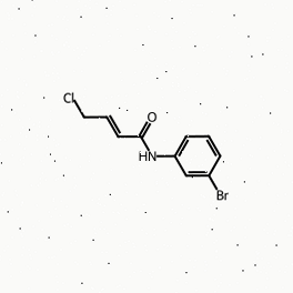 O=C(/C=C/CCl)Nc1cccc(Br)c1